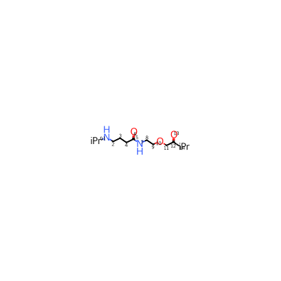 CC(C)NCCCC(=O)NCCOCC(=O)C(C)C